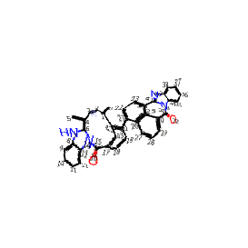 C=C1/C=C\C(=C)C2Nc3ccccc3N2C(=O)c2ccc(-c3ccc4c5c3cccc5c(=O)n3c5ccccc5nc43)c1c2